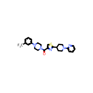 O=C(c1csc(C2CCN(c3ccccn3)CC2)n1)N1CCN(c2cccc(C(F)(F)F)c2)CC1